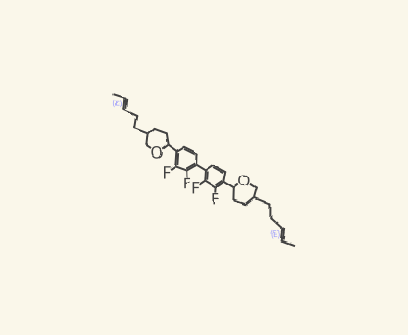 C/C=C/CCC1CCC(c2ccc(-c3ccc(C4CCC(CC/C=C/C)CO4)c(F)c3F)c(F)c2F)OC1